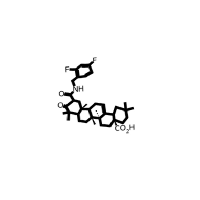 CC1(C)CC[C@]2(C(=O)O)CC[C@]3(C)C(=CCC4[C@@]5(C)CC(C(=O)NCc6ccc(F)cc6F)C(=O)C(C)(C)C5CC[C@]43C)C2C1